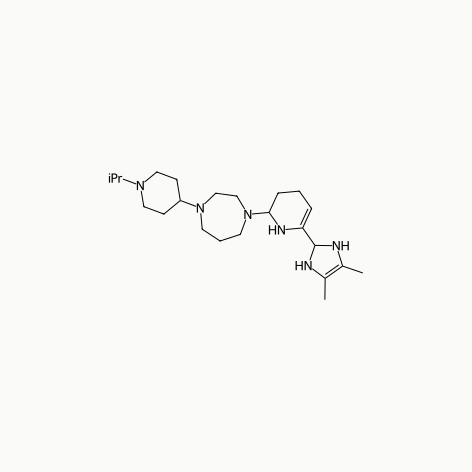 CC1=C(C)NC(C2=CCCC(N3CCCN(C4CCN(C(C)C)CC4)CC3)N2)N1